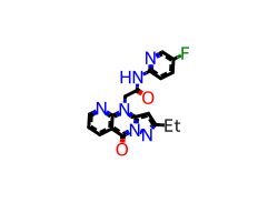 CCc1cc2n(CC(=O)Nc3ccc(F)cn3)c3ncccc3c(=O)n2n1